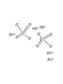 [OH-].[OH-].[O]=[Cr](=[O])([O-])[O-].[O]=[Cr](=[O])([O-])[O-].[Zn+2].[Zn+2].[Zn+2]